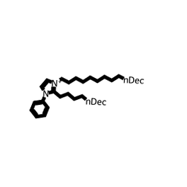 CCCCCCCCCCCCCCCCCCC[n+]1ccn(-c2ccccc2)c1CCCCCCCCCCCCCC